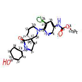 CCCOC(=O)Nc1cnc(N2CCC[C@@]3(CCN([C@H]4CC[C@@H](O)CC4)C3=O)C2)c(Cl)c1